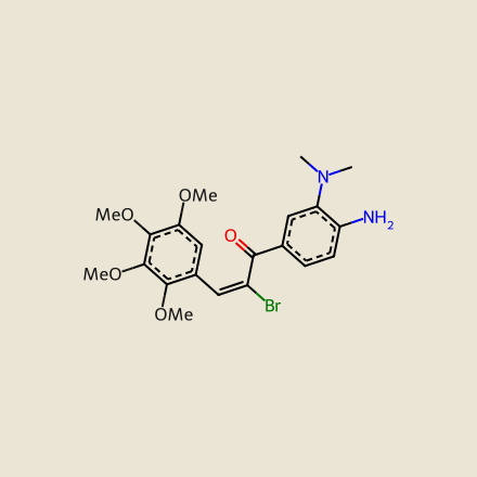 COc1cc(/C=C(/Br)C(=O)c2ccc(N)c(N(C)C)c2)c(OC)c(OC)c1OC